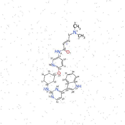 CN(C)C/C=C/C(=O)Nc1ccc(OC2CCCC(Nc3nccc(-c4c[nH]c5ccccc45)n3)C2)nc1